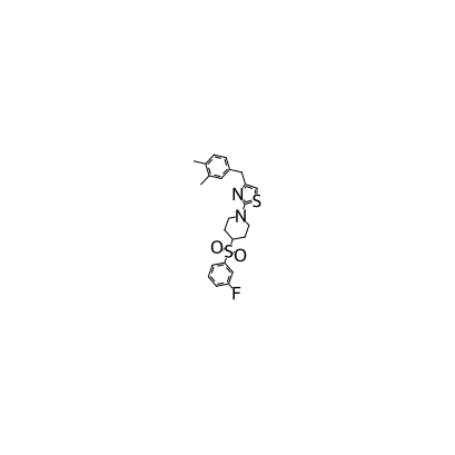 Cc1ccc(Cc2csc(N3CCC(S(=O)(=O)c4cccc(F)c4)CC3)n2)cc1C